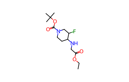 CCOC(=O)CNC1CCN(C(=O)OC(C)(C)C)CC1F